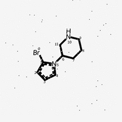 Brc1cccn1C1CCCNC1